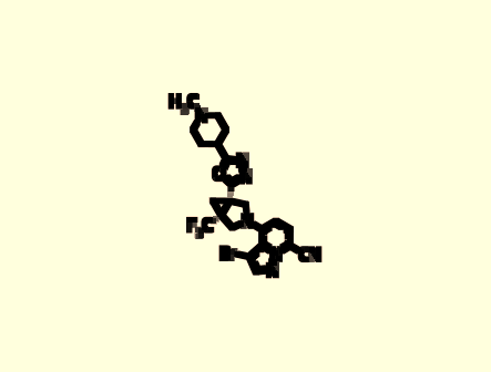 CN1CCC(c2nnc([C@]34CN(c5ccc(C#N)n6ncc(Br)c56)C[C@@]3(C(F)(F)F)C4)o2)CC1